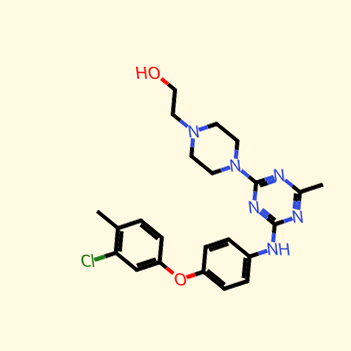 Cc1nc(Nc2ccc(Oc3ccc(C)c(Cl)c3)cc2)nc(N2CCN(CCO)CC2)n1